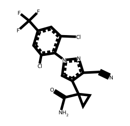 N#Cc1nn(-c2c(Cl)cc(C(F)(F)F)cc2Cl)[c]c1C1(C(N)=O)CC1